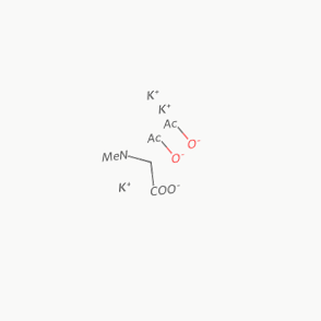 CC(=O)[O-].CC(=O)[O-].CNCC(=O)[O-].[K+].[K+].[K+]